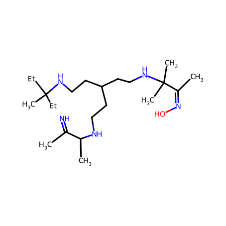 CCC(C)(CC)NCCC(CCNC(C)C(C)=N)CCNC(C)(C)/C(C)=N\O